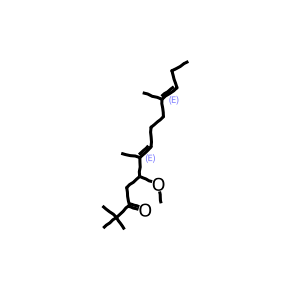 CC/C=C(\C)CC/C=C(\C)C(CC(=O)C(C)(C)C)OC